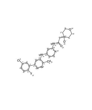 Cc1nnc(-c2cc(Cl)ccc2F)cc1Nc1ccnc(NC(=O)C[N+]2([O-])CCOCC2)c1